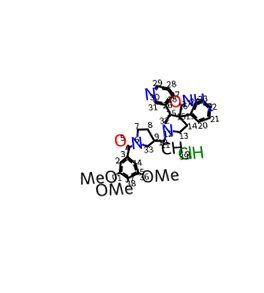 COc1cc(C(=O)N2CCC(C(C)N3CCC(C(N)=O)(c4ccccc4)C(c4cccnc4)C3)C2)cc(OC)c1OC.Cl